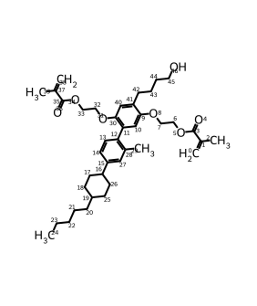 C=C(C)C(=O)OCCOc1cc(-c2ccc(C3CCC(CCCCC)CC3)cc2C)c(OCCOC(=O)C(=C)C)cc1CCCCO